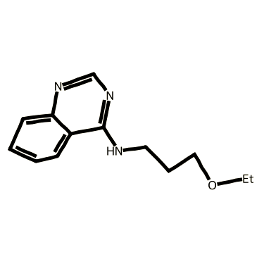 CCOCCCNc1ncnc2ccccc12